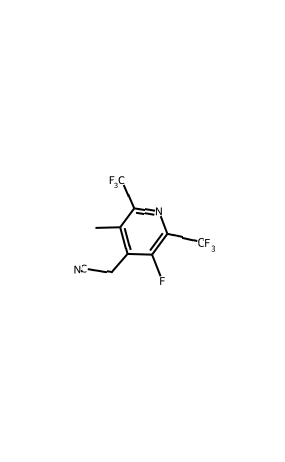 Cc1c(C(F)(F)F)nc(C(F)(F)F)c(F)c1CC#N